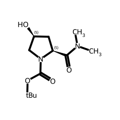 CN(C)C(=O)[C@@H]1C[C@H](O)CN1C(=O)OC(C)(C)C